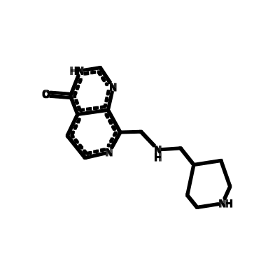 O=c1[nH]cnc2c(CNCC3CCNCC3)nccc12